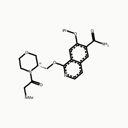 CNCC(=O)N1CCOC[C@@H]1COc1nccc2cc(C(N)=O)c(OC(C)C)cc12